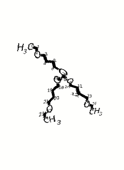 CCOCCCCOP(OCCCCOCC)OCCCCOCC